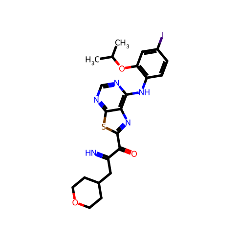 CC(C)Oc1cc(I)ccc1Nc1ncnc2sc(C(=O)C(=N)CC3CCOCC3)nc12